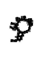 COc1ccc2nc3c(nc2c1)O[C@H]1CN(C(=O)[C@H](C(C)(C)C)NC(=O)O[C@]2(C)C[C@H]2CCCCC3)[C@H](C(C)=O)[C@@H]1CF